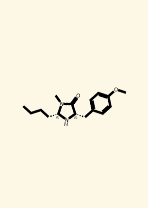 CCCC[C@H]1N[C@@H](Cc2ccc(OC)cc2)C(=O)N1C